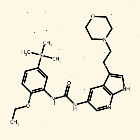 CCOc1ccc([Si](C)(C)C)cc1NC(=O)Nc1cnc2[nH]cc(CCN3CCOCC3)c2c1